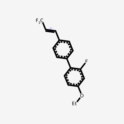 CCOc1ccc(-c2ccc(/C=C/C(F)(F)F)cc2)c(F)c1